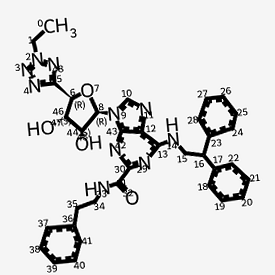 CCn1nnc([C@H]2O[C@@H](n3cnc4c(NCC(c5ccccc5)c5ccccc5)nc(C(=O)NCCc5ccccc5)nc43)[C@@H](O)[C@@H]2O)n1